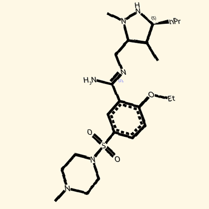 CCC[C@@H]1NN(C)C(C/N=C(\N)c2cc(S(=O)(=O)N3CCN(C)CC3)ccc2OCC)C1C